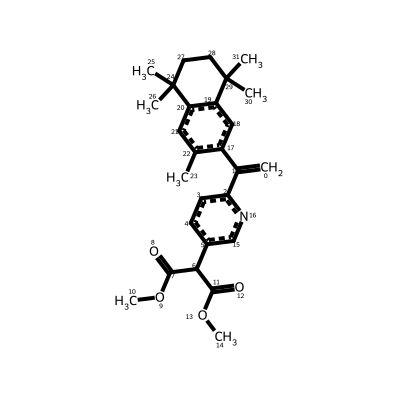 C=C(c1ccc(C(C(=O)OC)C(=O)OC)cn1)c1cc2c(cc1C)C(C)(C)CCC2(C)C